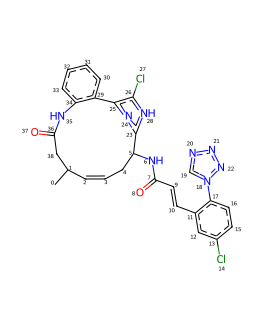 CC1/C=C\CC(NC(=O)/C=C/c2cc(Cl)ccc2-n2cnnn2)c2nc(c(Cl)[nH]2)-c2ccccc2NC(=O)C1